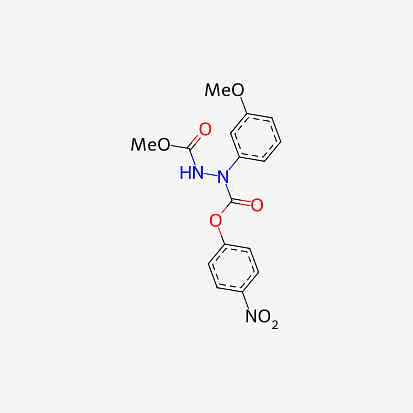 COC(=O)NN(C(=O)Oc1ccc([N+](=O)[O-])cc1)c1cccc(OC)c1